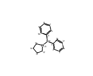 c1ccc(P(c2ccccc2)N2CCCC2)cc1